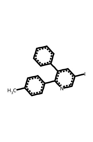 Cc1ccc(-c2ncc(I)cc2-c2ccccc2)cc1